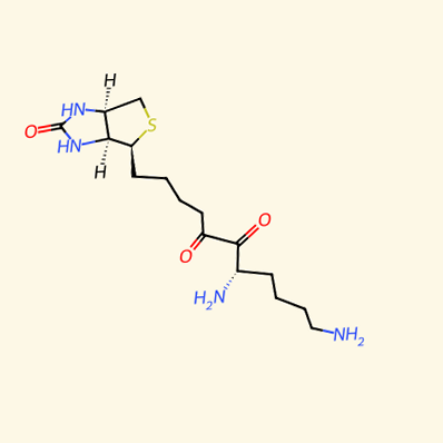 NCCCC[C@H](N)C(=O)C(=O)CCCC[C@@H]1SC[C@@H]2NC(=O)N[C@@H]21